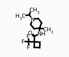 CC(C)N1CCC(C)(NC(=O)C2(C(F)(F)F)CCC2)CC1